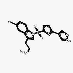 O=C(O)CCc1cn(S(=O)(=O)c2ccc(-c3cn[nH]c3)s2)c2ccc(Cl)cc12